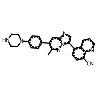 Cc1nn2c(-c3ccc(C#N)c4ncccc34)cnc2cc1-c1ccc(N2CCNCC2)cc1